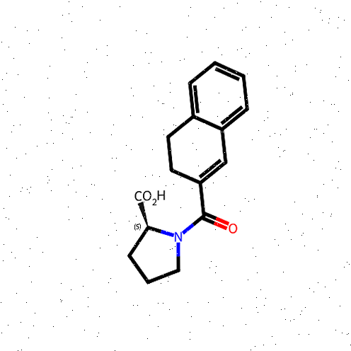 O=C(O)[C@@H]1CCCN1C(=O)C1=Cc2ccccc2CC1